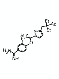 C=C(Oc1ccc(C(=N)N)cc1F)c1ccc(CC(CC)(CC)C(C)=O)s1